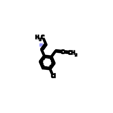 C=C=Cc1cc(Cl)ccc1/C=C/C